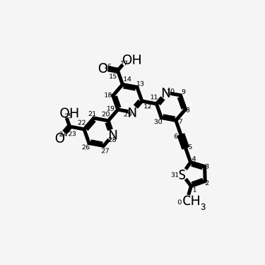 Cc1ccc(C#Cc2ccnc(-c3cc(C(=O)O)cc(-c4cc(C(=O)O)ccn4)n3)c2)s1